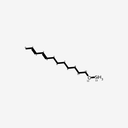 CC=C/C=C/CCCCCCCO[SiH3]